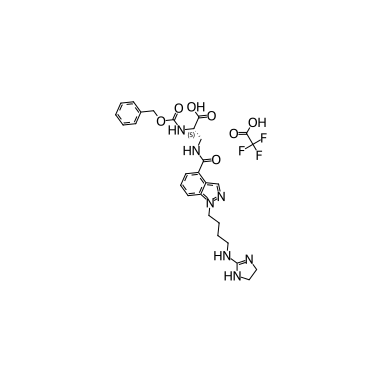 O=C(N[C@@H](CNC(=O)c1cccc2c1cnn2CCCCNC1=NCCN1)C(=O)O)OCc1ccccc1.O=C(O)C(F)(F)F